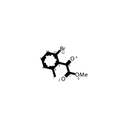 COC(=O)C(=O)c1c(C)cccc1Br